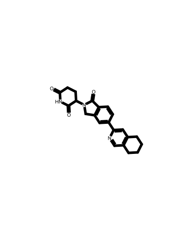 O=C1CCC(N2Cc3cc(-c4cc5c(cn4)CCCC5)ccc3C2=O)C(=O)N1